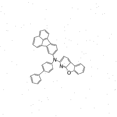 c1ccc(-c2ccc(N(c3ccc4c(c3)-c3cccc5cccc-4c35)c3ccc4c(n3)oc3ccccc34)cc2)cc1